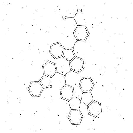 CC(C)c1cccc(-n2c3ccccc3c3c(N(c4ccc5c(c4)C4(c6ccccc6-c6ccccc64)c4ccccc4-5)c4cccc5c4oc4ccccc45)cccc32)c1